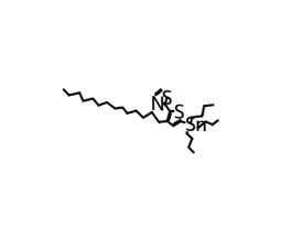 CCCCCCCCCCCCCCc1c[c]([Sn]([CH2]CCC)([CH2]CCC)[CH2]CCC)sc1-c1nccs1